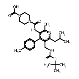 Cc1ccc(-c2c(CNC(=O)OC(C)(C)C)c(CC(C)C)nc(C)c2NC(=O)N2CCN(C(=O)O)CC2)cc1